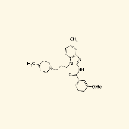 COc1cccc(C(=O)Nc2nc3cc(C)ccc3n2CCCN2CCN(C)CC2)c1